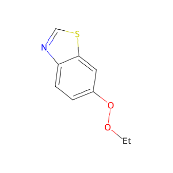 CCOOc1ccc2ncsc2c1